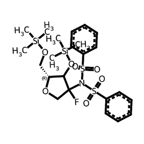 C[Si](C)(C)OC[C@H]1OCC(F)(N(S(=O)(=O)c2ccccc2)S(=O)(=O)c2ccccc2)C1O[Si](C)(C)C